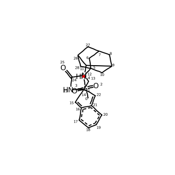 CS(=O)(=O)NC12CC3CC(C1)C(N1CC4(C=c5ccccc5=C4)NC1=O)C(C3)C2